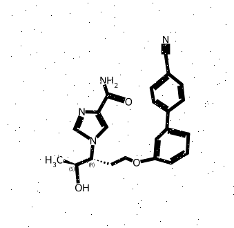 C[C@H](O)[C@@H](CCOc1cccc(-c2ccc(C#N)cc2)c1)n1cnc(C(N)=O)c1